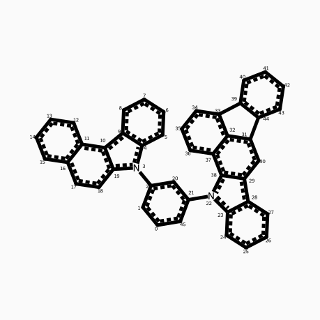 c1cc(-n2c3ccccc3c3c4ccccc4ccc32)cc(-n2c3ccccc3c3cc4c5c(cccc5c32)-c2ccccc2-4)c1